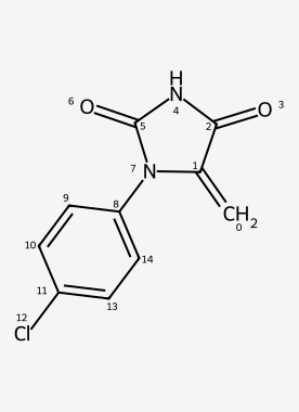 C=C1C(=O)NC(=O)N1c1ccc(Cl)cc1